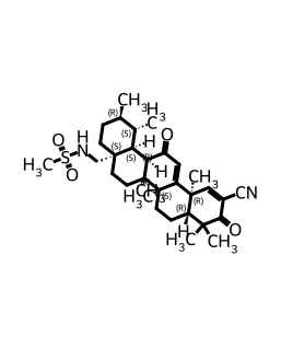 C[C@@H]1[C@H]2[C@H]3C(=O)C=C4[C@@]5(C)C=C(C#N)C(=O)C(C)(C)[C@@H]5CC[C@@]4(C)[C@]3(C)CC[C@@]2(CNS(C)(=O)=O)CC[C@H]1C